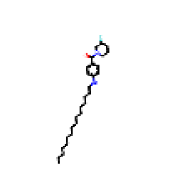 CCCCCCCCCCCCCCCCNc1ccc(C(=O)N2CCCC(F)C2)cc1